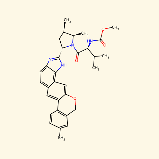 Bc1ccc2c(c1)COc1cc3c(ccc4nc([C@@H]5C[C@@H](C)[C@@H](C)N5C(=O)[C@@H](NC(=O)OC)C(C)C)[nH]c43)cc1-2